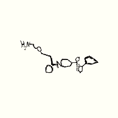 NCCOCCC(=O)N1CCC(C(=O)N2N=CCC2c2ccccc2)CC1